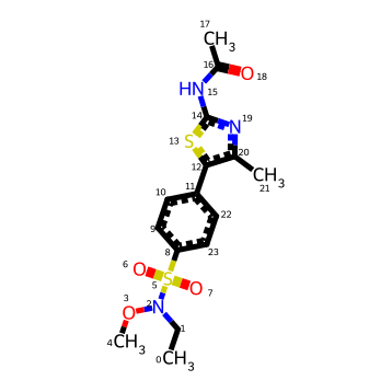 CCN(OC)S(=O)(=O)c1ccc(-c2sc(NC(C)=O)nc2C)cc1